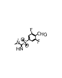 CN(C)C(=N)S(=O)(=O)c1cc(F)c(C=O)c(F)c1